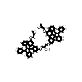 OC(COc1ccc(C2(c3ccc(OCC4CO4)cc3)c3ccccc3C(c3ccccc3)C2c2ccccc2)cc1)COc1ccc(C2(c3ccc(OCC4CO4)cc3)c3ccccc3C(c3ccccc3)C2c2ccccc2)cc1